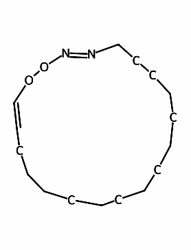 C1=C\OO/N=N/CCCCCCCCCCCCCC/1